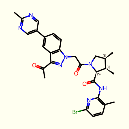 CC(=O)c1nn(CC(=O)N2C[C@@H](C)[C@@H](C)[C@H]2C(=O)Nc2nc(Br)ccc2C)c2ccc(-c3cnc(C)nc3)cc12